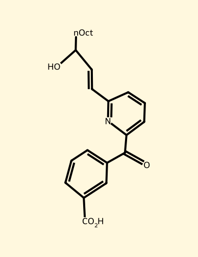 CCCCCCCCC(O)/C=C/c1cccc(C(=O)c2cccc(C(=O)O)c2)n1